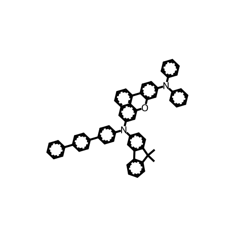 CC1(C)c2ccccc2-c2cc(N(c3ccc(-c4ccc(-c5ccccc5)cc4)cc3)c3cc4c5c(cccc5c3)-c3ccc(N(c5ccccc5)c5ccccc5)cc3O4)ccc21